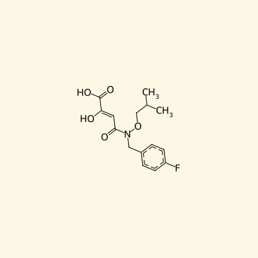 CC(C)CON(Cc1ccc(F)cc1)C(=O)C=C(O)C(=O)O